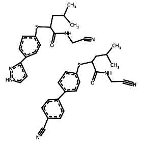 CC(C)CC(Sc1ccc(-c2cc[nH]n2)cc1)C(=O)NCC#N.CC(C)CC(Sc1ccc(-c2ccc(C#N)cc2)cc1)C(=O)NCC#N